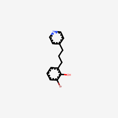 Oc1c(Br)cccc1CCCc1ccncc1